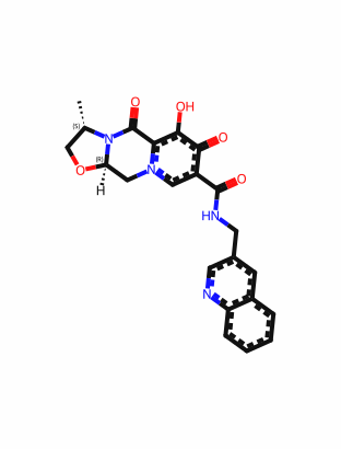 C[C@H]1CO[C@@H]2Cn3cc(C(=O)NCc4cnc5ccccc5c4)c(=O)c(O)c3C(=O)N12